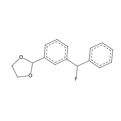 FC(c1ccccc1)c1cccc(C2OCCO2)c1